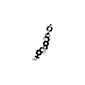 CN1CCN(C2=NC(=O)/C(=C\c3ccc4c(cnn4Cc4ccc(C(C)(C)O)cc4Cl)c3)S2)CC1